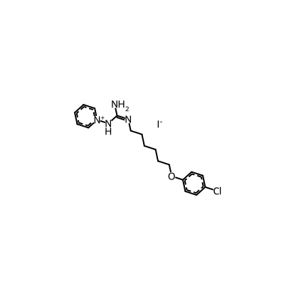 NC(=NCCCCCCOc1ccc(Cl)cc1)N[n+]1ccccc1.[I-]